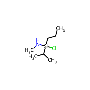 CCC[Si](Cl)(NC)C(C)C